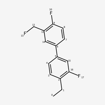 CCc1ccc(-c2ccc(F)c(CF)c2)cc1F